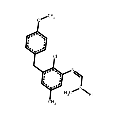 CCN(C)/C=N\c1cc(C)cc(Cc2ccc(OC(F)(F)F)cc2)c1Cl